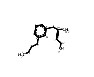 CCCCc1cccc(CC(C)=CCS)c1